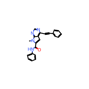 Cn1c(C(=O)Nc2ccccc2)cc2c(C#Cc3ccccc3)ncnc21